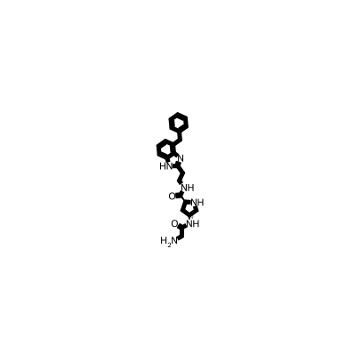 NCC(=O)N[C@H]1CN[C@H](C(=O)NCCc2nc3c(Cc4ccccc4)cccc3[nH]2)C1